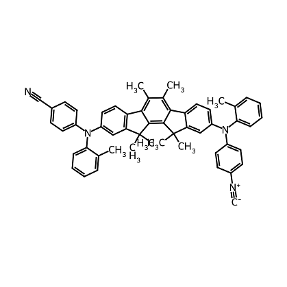 [C-]#[N+]c1ccc(N(c2ccc3c(c2)C(C)(C)c2c-3c(C)c(C)c3c2C(C)(C)c2cc(N(c4ccc(C#N)cc4)c4ccccc4C)ccc2-3)c2ccccc2C)cc1